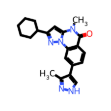 Cc1n[nH]cc1-c1ccc2c(=O)n(C)c3cc(C4CCCCC4)nn3c2c1